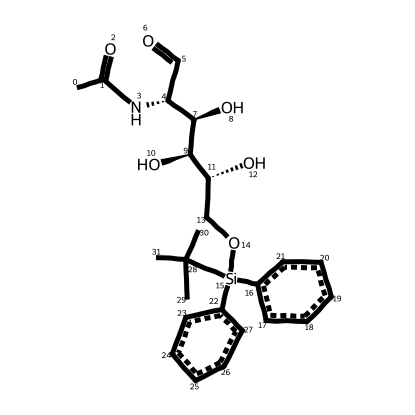 CC(=O)N[C@H](C=O)[C@@H](O)[C@H](O)[C@H](O)CO[Si](c1ccccc1)(c1ccccc1)C(C)(C)C